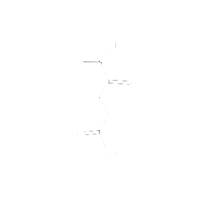 C=C(C)C(=O)CCC(C)=O